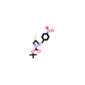 CC(C)(C)OC(=O)N1C[C@H](F)[C@@H]1Cc1ccc([N+](=O)[O-])cc1